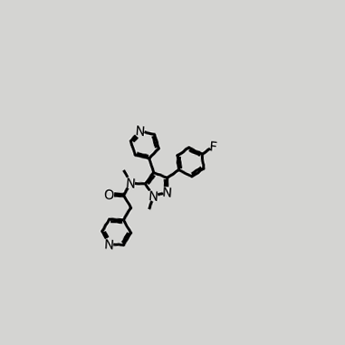 CN(C(=O)Cc1ccncc1)c1c(-c2ccncc2)c(-c2ccc(F)cc2)nn1C